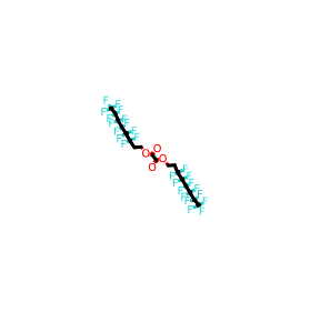 O=C(OCCC(F)(F)C(F)(F)C(F)(F)C(F)(F)C(F)(F)C(F)(F)F)C(=O)OCCC(F)(F)C(F)(F)C(F)(F)C(F)(F)C(F)(F)C(F)(F)F